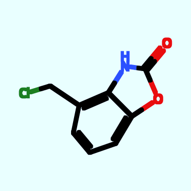 O=c1[nH]c2c(CCl)cccc2o1